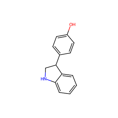 Oc1ccc(C2CNc3ccccc32)cc1